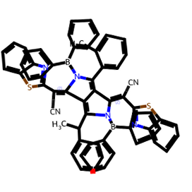 Cc1ccccc1-c1c2/c(=C(\C#N)c3nc4ccccc4s3)n(B(c3ccccc3)c3ccccc3)c(C(C)c3ccccc3)c2/c(=C(\C#N)c2nc3ccccc3s2)n1B(c1ccccc1)c1ccccc1